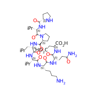 CC(C)C[C@H](NC(=O)[C@@H]1CCCN1C(=O)[C@@H](NC(=O)[C@@H]1CCCN1)C(C)C)C(=O)N[C@H](C(=O)N[C@@H](CCCCN)C(=O)N[C@@H](CCC(N)=O)C(=O)N[C@@H](CC(=O)O)C(=O)O)C(C)C